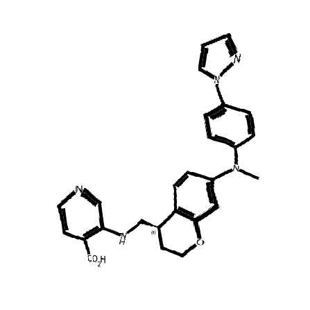 CN(c1ccc(-n2cccn2)cc1)c1ccc2c(c1)OCC[C@H]2CNc1cnccc1C(=O)O